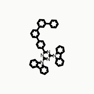 c1ccc(-c2cccc(-c3cccc(-c4ccc(-c5nc(-n6c7ccccc7c7ccccc76)nc(-n6c7ccccc7c7ccccc76)n5)cc4)c3)c2)cc1